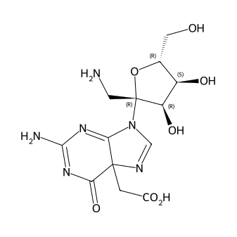 NC[C@@]1(N2C=NC3(CC(=O)O)C(=O)N=C(N)N=C23)O[C@H](CO)[C@@H](O)[C@H]1O